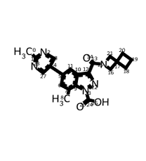 Cc1ncc(-c2cc(C)c3c(c2)c(C(=O)N2CC4(CCC4)C2)nn3C(=O)O)cn1